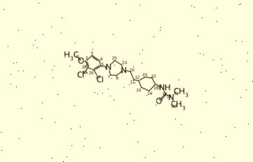 COc1ccc(N2CCN(CCC3CCC(NC(=O)N(C)C)CC3)CC2)c(Cl)c1Cl